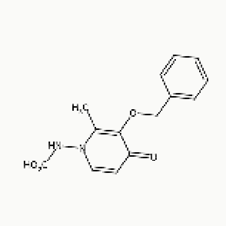 Cc1c(OCc2ccccc2)c(=O)ccn1NC(=O)O